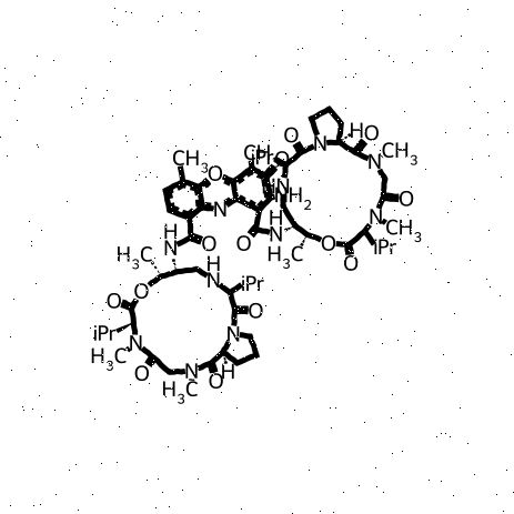 Cc1c2oc3c(C)ccc(C(=O)N[C@@H]4CNC(C(C)C)C(=O)N5CCC[C@H]5C(=O)N(C)CC(=O)N(C)[C@@H](C(C)C)C(=O)O[C@@H]4C)c3nc-2c(C(=O)N[C@@H]2CNC(C(C)C)C(=O)N3CCC[C@H]3C(=O)N(C)CC(=O)N(C)C(C(C)C)C(=O)O[C@@H]2C)c(N)c1=O